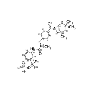 CN(Cc1ccc(C(=O)N2CC3(C)CC2CC(C)(C)C3)cc1)C(=O)Nc1ccc2c(c1)C(F)(F)OC(F)(F)O2